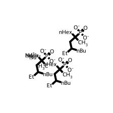 CCCCCCC(C)(CC(CC)CCCC)P(=O)([O-])[O-].CCCCCCC(C)(CC(CC)CCCC)P(=O)([O-])[O-].CCCCCCC(C)(CC(CC)CCCC)P(=O)([O-])[O-].[Nd+3].[Nd+3]